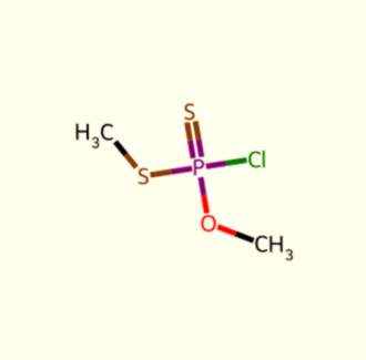 COP(=S)(Cl)SC